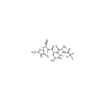 CC(C)C[C@@H](C(=O)N1C[C@]2(CC(C)NC2=O)C[C@H]1C#N)N(C)C(=O)[C@H](C)NC(=O)C(F)(F)F